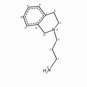 NCCCN1CCc2ccccc2C1